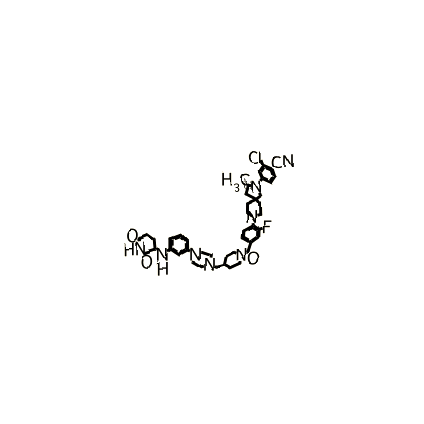 C[C@H]1CC2(CCN(c3ccc(C(=O)N4CCC(CN5CCN(c6cccc(NC7CCC(=O)NC7=O)c6)CC5)CC4)cc3F)CC2)CN1c1ccc(C#N)c(Cl)c1